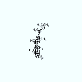 C=C1CO[C@@H](CC[C@@H]2O[C@@H](CC[C@@H]3C[C@@H](OC)C(C4C[C@@H](O)[C@H]5O[C@@H](CC(=O)O[C@@H]6[C@@H](C)[C@@H]7O[C@@H]8COC(C)(C)O[C@@H]8C[C@@H]7O[C@H]6C)CC[C@@H]5O4)O3)CC2=C)C[C@H]1C